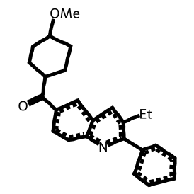 CCc1cc2cc(C(=O)C3CCC(OC)CC3)ccc2nc1-c1ccccc1